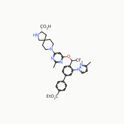 CCOC(=O)c1ccc(-c2ccc(C(Oc3cc(N4CCC5(CC4)CN[C@H](C(=O)O)C5)nc(C)n3)C(F)(F)F)c(-n3ccc(C)n3)c2)cc1